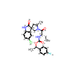 CC(OC(=O)N[C@@H](CC(C)(C)C)C(=O)N1C[C@]2(C[C@H]1C#N)C(=O)Nc1ccc(Cl)cc12)c1ccc(F)cc1